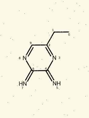 CCC1=NC(=N)C(=N)N=C1